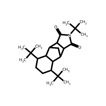 CC(C)(C)C1CCC(C(C)(C)C)C2C3CC(C4C(=O)N(C(C)(C)C)C(=O)C34)C21